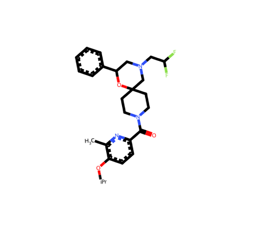 Cc1nc(C(=O)N2CCC3(CC2)CN(CC(F)F)CC(c2ccccc2)O3)ccc1OC(C)C